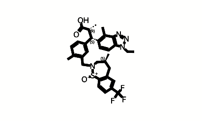 CCn1nnc2c(C)c([C@H](c3ccc(C)c(CN4C[C@@H](C)Cc5cc(C(F)(F)F)ccc5[S+]4[O-])c3)[C@@H](C)C(=O)O)ccc21